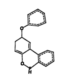 C1=C2OPc3ccccc3C2=CC(Oc2ccccc2)C1